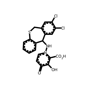 O=C(O)c1c(O)c(=O)ccn1NC1c2cc(Cl)c(Cl)cc2CSc2ccccc21